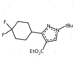 CCOC(=O)c1cn(C(C)(C)C)nc1C1CCC(F)(F)CC1